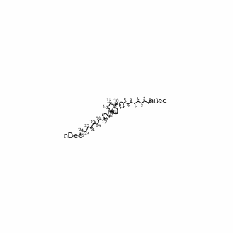 CCCCCCCCCCCCCCCCCCOCC1CC[C@@H](COCCCCCCCCCCCCCCCCCC)O1